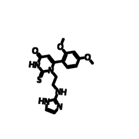 COc1ccc(-c2cc(=O)[nH]c(=S)n2CCNc2ncc[nH]2)c(OC)c1